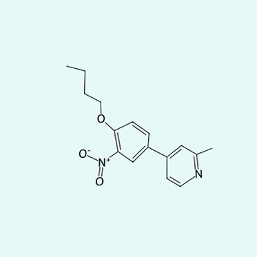 CCCCOc1ccc(-c2ccnc(C)c2)cc1[N+](=O)[O-]